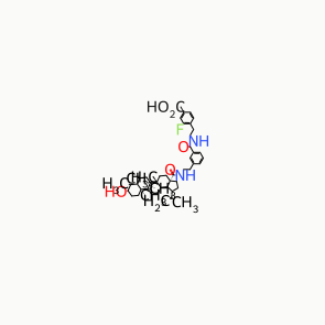 C=C(C)[C@@H]1CC[C@]2(C(=O)NCCc3cccc(C(=O)NCCc4ccc(C(=O)O)cc4F)c3)CC[C@]3(C)C(CCC4[C@@]5(C)CC[C@H](O)C(C)(C)C5CC[C@]43C)C12